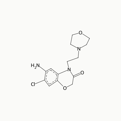 Nc1cc2c(cc1Cl)OCC(=O)N2CCN1CCOCC1